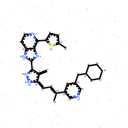 C=c1c(-c2nc3c(-c4ccc(C)s4)nccc3[nH]2)n[nH]/c1=C/C=C(\C)c1cncc(CC2CCCCC2)c1